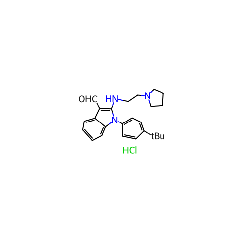 CC(C)(C)c1ccc(-n2c(NCCN3CCCC3)c(C=O)c3ccccc32)cc1.Cl